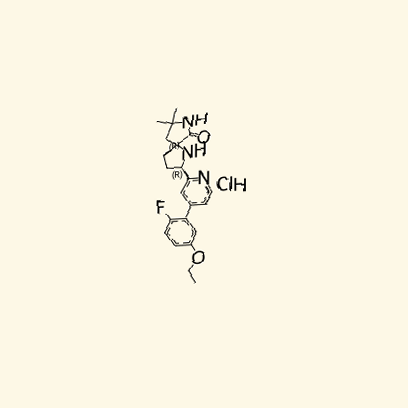 CCOc1ccc(F)c(-c2ccnc([C@H]3CC[C@]4(CC(C)(C)NC4=O)N3)c2)c1.Cl